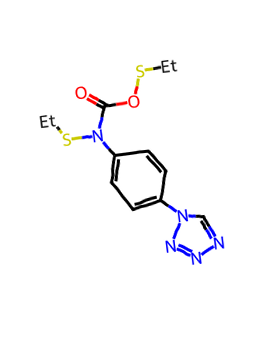 CCSOC(=O)N(SCC)c1ccc(-n2cnnn2)cc1